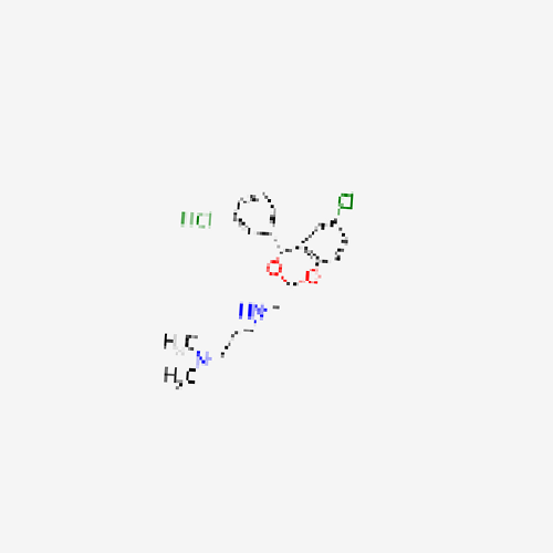 CN(C)CCCNC[C@H]1Oc2ccc(Cl)cc2[C@@H](c2ccccc2)O1.Cl